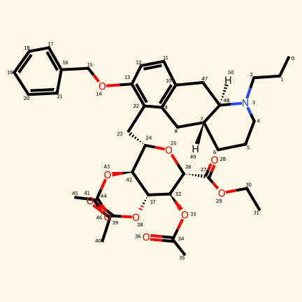 CCCN1CCC[C@@H]2Cc3c(ccc(OCc4ccccc4)c3C[C@@H]3O[C@H](C(=O)OCC)[C@@H](OC(C)=O)[C@H](OC(C)=O)[C@H]3OC(C)=O)C[C@H]21